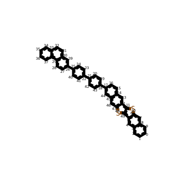 c1ccc2cc3c(cc2c1)sc1c2cc4ccc(-c5ccc(-c6ccc(-c7ccc8c(ccc9ccccc98)c7)cc6)cc5)cc4cc2sc31